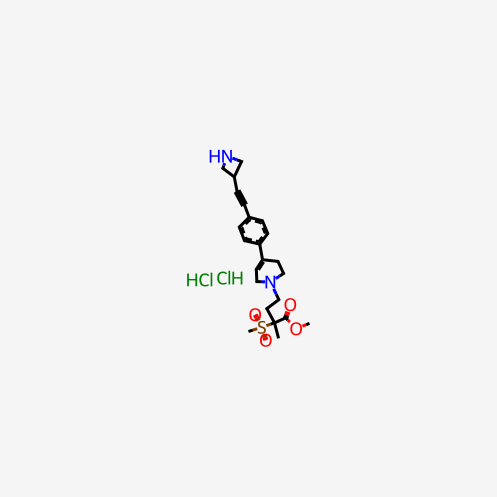 COC(=O)C(C)(CCN1CC=C(c2ccc(C#CC3CNC3)cc2)CC1)S(C)(=O)=O.Cl.Cl